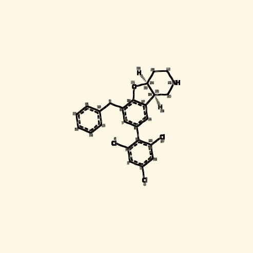 Clc1cc(Cl)c(-c2cc(Cc3ccccc3)c3c(c2)[C@@H]2CNCC[C@@H]2O3)c(Cl)c1